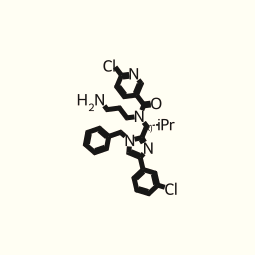 CC(C)[C@H](c1nc(-c2cccc(Cl)c2)cn1Cc1ccccc1)N(CCCN)C(=O)c1ccc(Cl)nc1